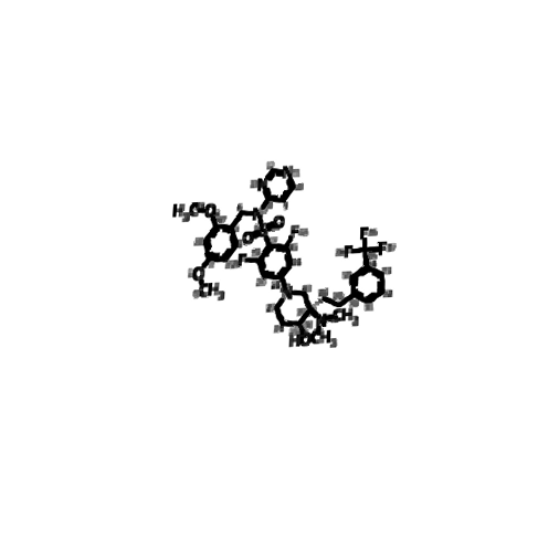 COc1ccc(CN(c2ccncn2)S(=O)(=O)c2c(F)cc(N3CC[C@H](O)[C@](CCc4cccc(C(F)(F)F)c4)(N(C)C)C3)cc2F)c(OC)c1